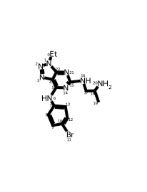 CCn1nnc2c(Nc3ccc(Br)cc3)nc(NCC(C)N)nc21